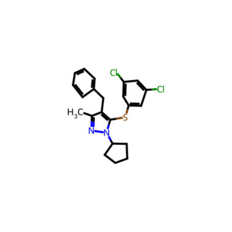 Cc1nn(C2CCCC2)c(Sc2cc(Cl)cc(Cl)c2)c1Cc1ccccc1